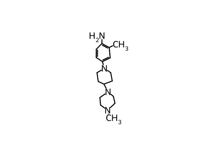 Cc1cc(N2CCC(N3CCN(C)CC3)CC2)ccc1N